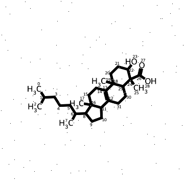 CC(C)CCCC(C)C1CCC2C3=C(CCC21C)C1(C)CCC(O)C(C)(C(=O)O)C1CC3